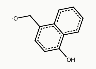 [O]Cc1ccc(O)c2ccccc12